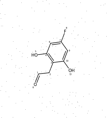 O=CCc1c(O)cc(F)cc1O